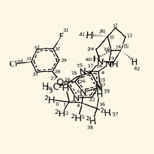 [2H]C([2H])([2H])C([2H])(n1nc(N[C@H]2[C@@H]3CC[C@H]2CN(c2cc(C)ncn2)C3)nc1Oc1cc(F)cc(Cl)c1)C([2H])([2H])[2H]